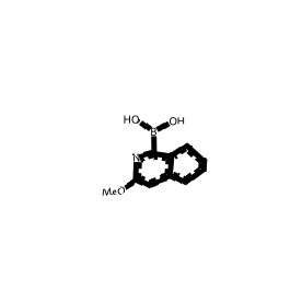 COc1cc2ccccc2c(B(O)O)n1